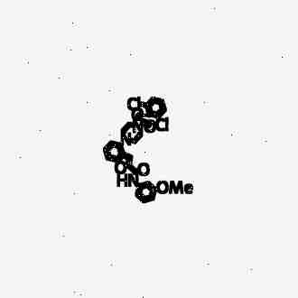 COc1cccc(NC(=O)c2cc3c(N4CCN(S(=O)(=O)c5c(Cl)cccc5Cl)CC4)cccc3o2)c1